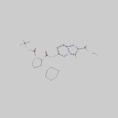 CCOC(=O)c1nc2ccc(NC(=O)[C@H]3[C@H](C4CCCCC4)CCN3C(=O)OC(C)(C)C)cn2c1Cl